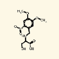 COc1cc(CNC(CO)C(=O)O)c([N+](=O)[O-])cc1OC